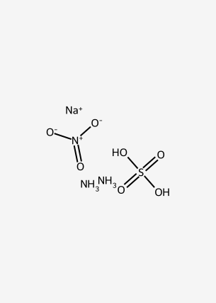 N.N.O=S(=O)(O)O.O=[N+]([O-])[O-].[Na+]